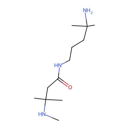 CNC(C)(C)CC(=O)NCCCC(C)(C)N